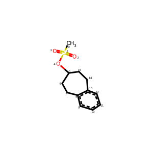 CS(=O)(=O)OC1CCc2ccccc2CC1